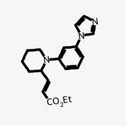 CCOC(=O)/C=C/C1CCCCN1c1cccc(-n2ccnc2)c1